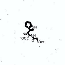 CCCCCCCCCCCC(=O)N[C@@H](Cc1c[nH]c2ccccc12)C(=O)[O-].[Na+]